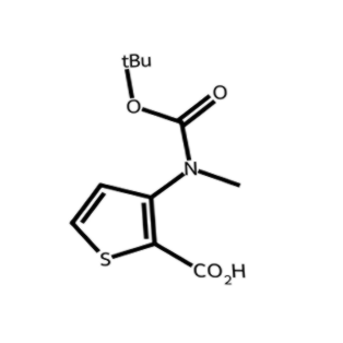 CN(C(=O)OC(C)(C)C)c1ccsc1C(=O)O